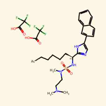 CC(=O)CCCCC[C@H](NS(=O)(=O)N(C)CCN(C)C)c1ncc(-c2ccc3ccccc3c2)[nH]1.O=C(O)C(F)(F)F.O=C(O)C(F)(F)F